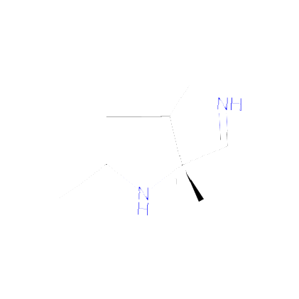 CCN[C@@](C)(C=N)C(C)C